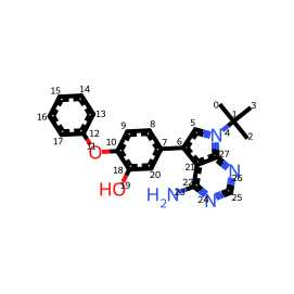 CC(C)(C)n1cc(-c2ccc(Oc3ccccc3)c(O)c2)c2c(N)ncnc21